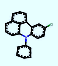 Clc1ccc2c(c1)-c1cccc3cccc(c13)N2c1ccccc1